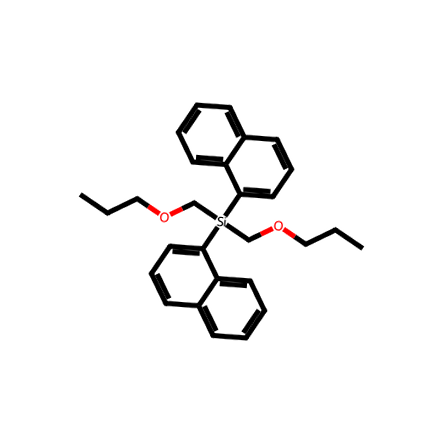 CCCOC[Si](COCCC)(c1cccc2ccccc12)c1cccc2ccccc12